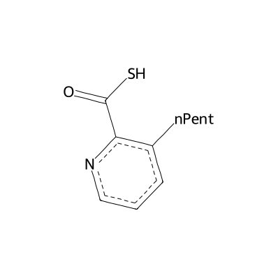 CCCCCc1cccnc1C(=O)S